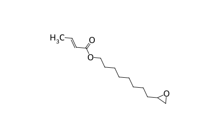 CC=CC(=O)OCCCCCCCCC1CO1